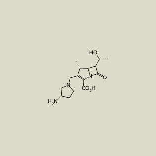 C[C@@H](O)C1C(=O)N2C(C(=O)O)=C(CN3CC[C@H](N)C3)[C@H](C)C12